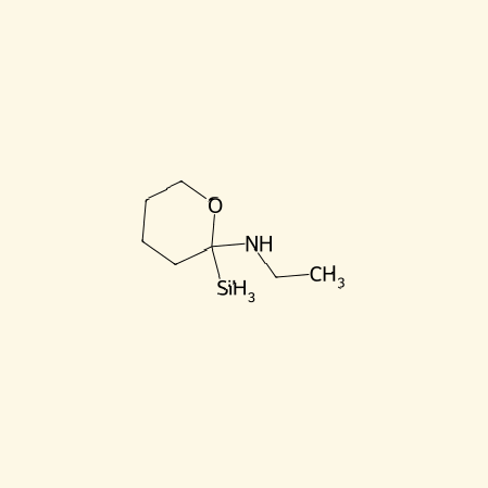 CCNC1([SiH3])CCCCO1